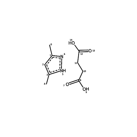 Cc1cc(C)[nH]n1.O=C(O)CCC(=O)O